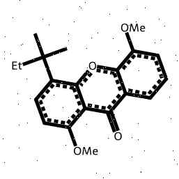 CCC(C)(C)c1ccc(OC)c2c(=O)c3cccc(OC)c3oc12